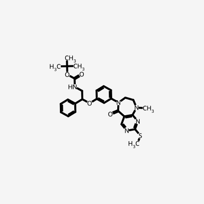 CSc1ncc2c(n1)N(C)CCN(c1cccc(OC(CNC(=O)OC(C)(C)C)c3ccccc3)c1)C2=O